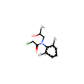 CCCC(O)CN(C(=O)CCl)c1c(CC)cccc1CC